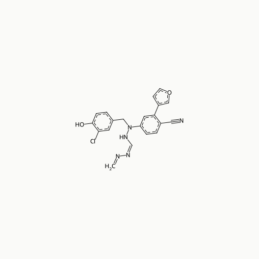 C=N/N=C\NN(Cc1ccc(O)c(Cl)c1)c1ccc(C#N)c(-c2ccoc2)c1